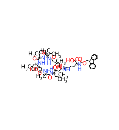 CC(C)CC(=O)N[C@@H](C(=O)N[C@H](C(=O)N[C@H](CC(C)C)[C@H](O)CC(=O)N[C@H](C)C(=O)N[C@H](CC(C)C)[C@H](O)CC(=O)NCCCC[C@H](NC(=O)OCC1c2ccccc2-c2ccccc21)C(=O)O)C(C)C)C(C)C